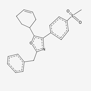 CS(=O)(=O)c1ccc(-c2nc(Cc3ccccc3)oc2C2CC=CCC2)cc1